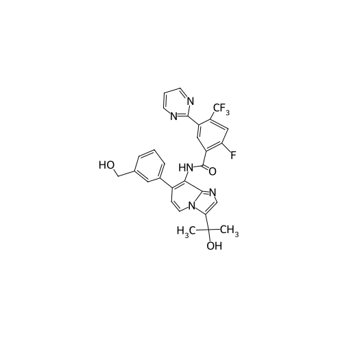 CC(C)(O)c1cnc2c(NC(=O)c3cc(-c4ncccn4)c(C(F)(F)F)cc3F)c(-c3cccc(CO)c3)ccn12